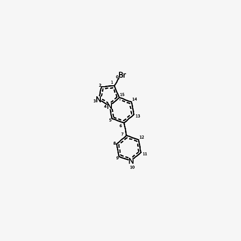 Brc1cnn2cc(-c3ccncc3)ccc12